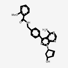 COc1ccccc1C(=O)NCc1ccc(-c2nn([C@H]3C=CC(O)C3)c3ncnc(N)c23)cc1